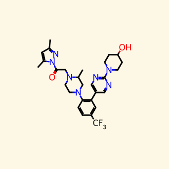 Cc1cc(C)n(C(=O)CN2CCN(c3ccc(C(F)(F)F)cc3-c3cnc(N4CCC(O)CC4)nc3)CC2C)n1